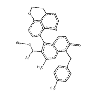 CC(=O)C(OC(C)(C)C)c1c(C)cc2c(ccc(=O)n2Cc2ccc(C(F)(F)F)cc2)c1-c1ccc2c3c(ccnc13)CCO2